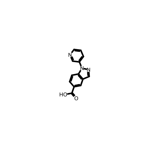 O=C(O)c1ccc2c(cnn2-c2cccnc2)c1